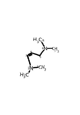 CN(C)/C=C\CN(C)C